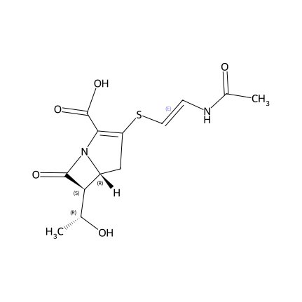 CC(=O)N/C=C/SC1=C(C(=O)O)N2C(=O)[C@H]([C@@H](C)O)[C@H]2C1